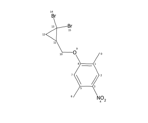 Cc1cc([N+](=O)[O-])c(C)cc1OCC1CC1(Br)Br